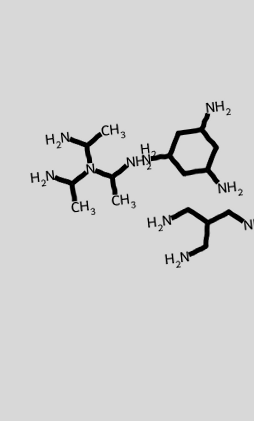 CC(N)N(C(C)N)C(C)N.NC1CC(N)CC(N)C1.NCC(CN)CN